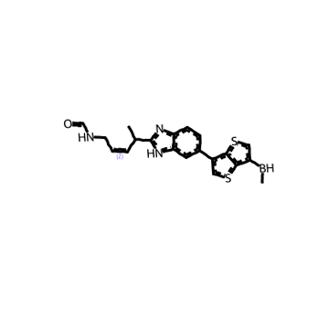 CBc1csc2c(-c3ccc4nc(C(C)/C=C\CNC=O)[nH]c4c3)csc12